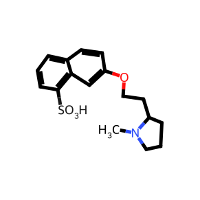 CN1CCCC1CCOc1ccc2cccc(S(=O)(=O)O)c2c1